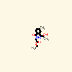 CCOC(=O)Cn1nc(C(C)O)c2cc(C)ccc2c1=O